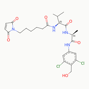 CC(C)[C@H](NC(=O)CCCCCN1C(=O)C=CC1=O)C(=O)N[C@@H](C)C(=O)Nc1cc(Cl)c(CO)c(Cl)c1